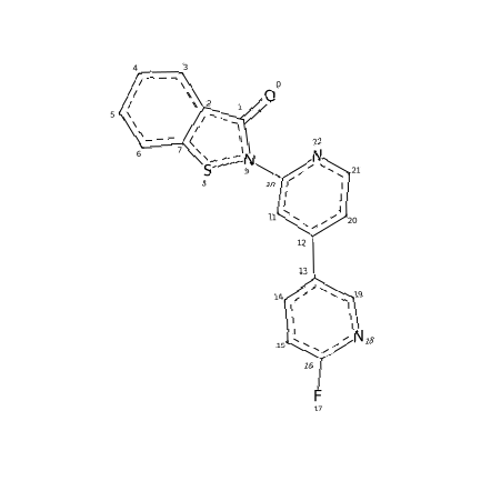 O=c1c2ccccc2sn1-c1cc(-c2ccc(F)nc2)ccn1